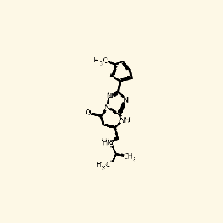 Cc1cccc(-c2nc3[nH]c(CNC(C)C)cc(=O)n3n2)c1